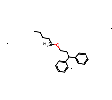 CCCC[SiH2]OCCC(c1ccccc1)c1ccccc1